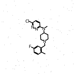 Cc1ccc(F)cc1CN1CCC(N(C)c2ccc(Cl)nn2)CC1